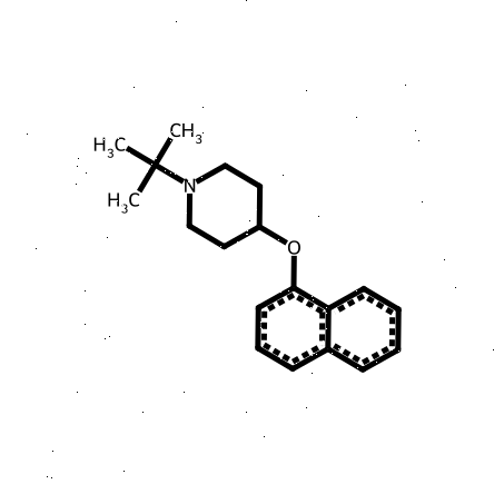 CC(C)(C)N1CCC(Oc2cccc3ccccc23)CC1